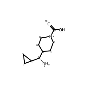 N[C@H](C1CC1)C1CCN(C(=O)O)CC1